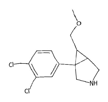 COCC1C2CNCC21c1ccc(Cl)c(Cl)c1